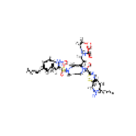 C#Cc1ccc2[nH]c(S(=O)(=O)N3CCN(C(=O)c4nc5c(s4)CNC(C)C5)C(CCN4CCOC4=O)C3)cc2c1